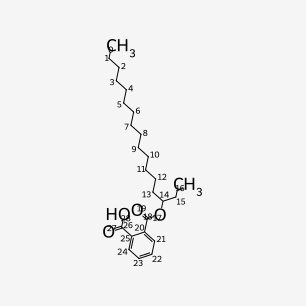 CCCCCCCCCCCCCCC(CC)OC(=O)c1ccccc1C(=O)O